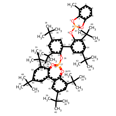 Cc1cccc2c1OP(Oc1c(-c3cc(C(C)(C)C)cc(C(C)(C)C)c3Op3oc4c(C(C)(C)C)cc(C(C)(C)C)cc4c4cc(C(C)(C)C)cc(C(C)(C)C)c4o3)cc(C(C)(C)C)cc1C(C)(C)C)O2